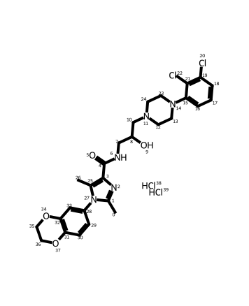 Cc1nc(C(=O)NCC(O)CN2CCN(c3cccc(Cl)c3Cl)CC2)c(C)n1-c1ccc2c(c1)OCCO2.Cl.Cl